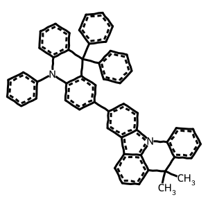 CC1(C)c2ccccc2-n2c3ccc(-c4ccc5c(c4)C(c4ccccc4)(c4ccccc4)c4ccccc4N5c4ccccc4)cc3c3cccc1c32